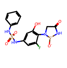 O=C1CN(c2c(O)cc(NS(=O)(=O)Nc3ccccc3)cc2F)[S+]([O-])N1